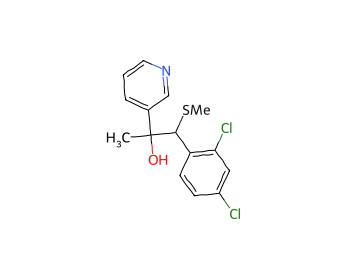 CSC(c1ccc(Cl)cc1Cl)C(C)(O)c1cccnc1